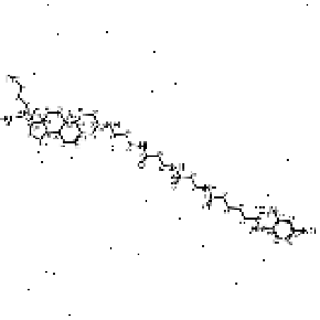 CC(C)CCCC(C)[C@H]1CCC2C3CC=C4C[C@@H](NCCCNC(=O)CCNC(=O)CCNC(=O)CCCCCNc5ccc([N+](=O)[O-])cc5[N+](=O)[O-])CC[C@]4(C)C3CC[C@@]21C